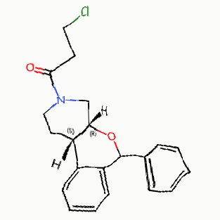 O=C(CCCl)N1CC[C@H]2c3ccccc3C(c3ccccc3)O[C@H]2C1